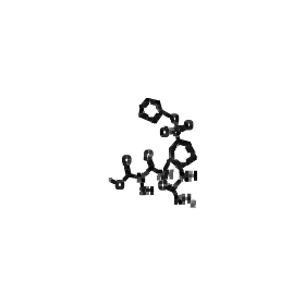 COC(=O)N(S)C(=O)Nc1cc(S(=O)(=O)Oc2ccccc2)ccc1NC(N)=O